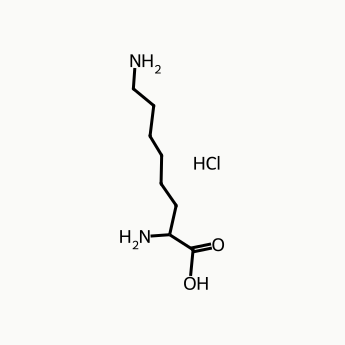 Cl.NCCCCCCC(N)C(=O)O